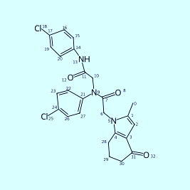 Cc1cc2c(n1CC(=O)N(CC(=O)Nc1ccc(Cl)cc1)c1ccc(Cl)cc1)CCCC2=O